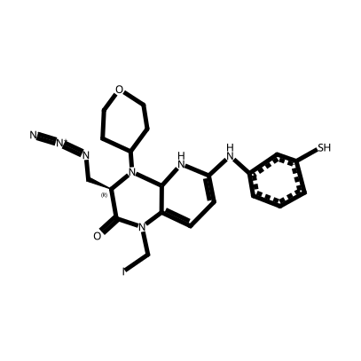 [N-]=[N+]=NC[C@@H]1C(=O)N(CI)C2=CC=C(Nc3cccc(S)c3)NC2N1C1CCOCC1